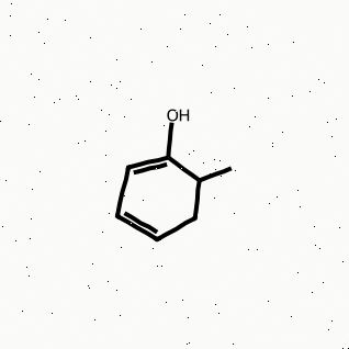 CC1CC=CC=C1O